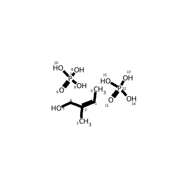 CC=C(C)CO.O=P(O)(O)O.O=P(O)(O)O